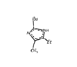 CCc1[nH]c(C(C)CC)nc1C